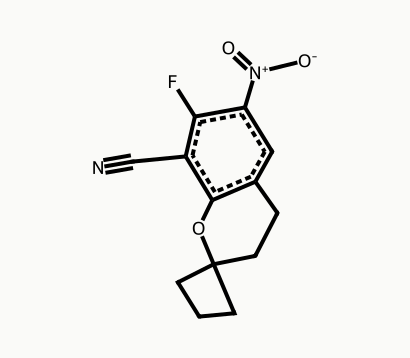 N#Cc1c(F)c([N+](=O)[O-])cc2c1OC1(CCC1)CC2